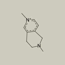 CN1CCc2c[n+](C)ccc2C1